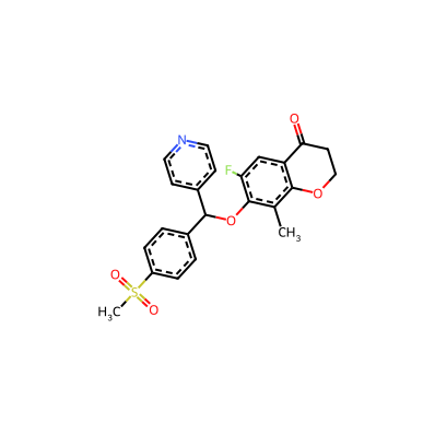 Cc1c(OC(c2ccncc2)c2ccc(S(C)(=O)=O)cc2)c(F)cc2c1OCCC2=O